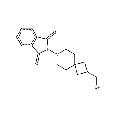 O=C1c2ccccc2C(=O)N1N1CCC2(CC1)CC(CO)C2